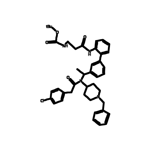 CC(c1cccc(-c2ccccc2NC(=O)CCNC(=O)OC(C)(C)C)c1)N(C(=O)Cc1ccc(Cl)cc1)C1CCN(Cc2ccccc2)CC1